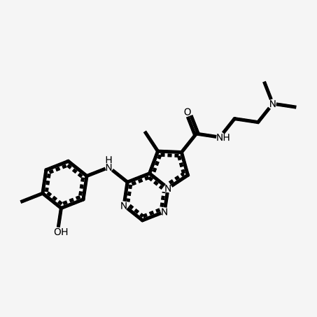 Cc1ccc(Nc2ncnn3cc(C(=O)NCCN(C)C)c(C)c23)cc1O